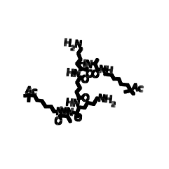 CC(=O)C(C)(C)CCCCCCNC(=O)C(C)NC(=O)C(CCCCN)NC(=O)CCCC(=O)NC(CCCCN)C(=O)NC(C)C(=O)NCCCCCCC(C)(C)C(C)=O